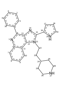 c1ccc(-c2nc3ccccc3c3c2nc(-c2ccc[nH]2)n3CCC2CCNCC2)cc1